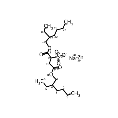 CCCCC(CC)COC(=O)CC(C(=O)OCC(CC)CCCC)S(=O)(=O)[O-].[Na+].[Zn]